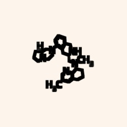 Cc1cnc2c(c1)CCC[C@@H]2N(C)C[C@H]1Cc2c(cccc2N2CCN3CCC[C@H]3C2)CN1